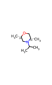 CC(C)N1C[C@H](C)OC[C@@H]1C